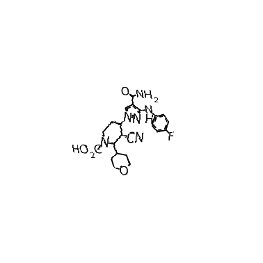 N#C[C@H]1C(C2CCOCC2)N(C(=O)O)CC[C@H]1n1cc(C(N)=O)c(Nc2ccc(F)cc2)n1